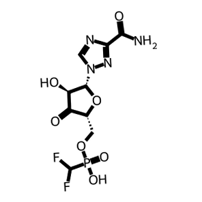 NC(=O)c1ncn([C@@H]2O[C@H](COP(=O)(O)C(F)F)C(=O)[C@H]2O)n1